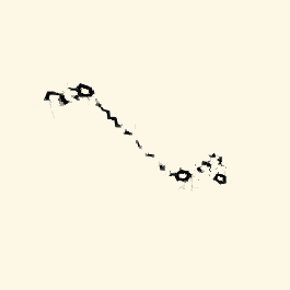 CC[C@@H]1C(=O)N(C)c2cnc(Nc3ccc(C(=O)NCCOCCOCCOCCNCCCCCC(=O)Nc4cccc5c4CN(C4CCC(=O)NC4=O)C5=O)cc3OC)nc2N1C1CCCC1